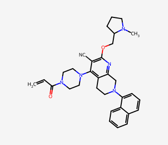 C=CC(=O)N1CCN(c2c(C#N)c(OCC3CCCN3C)nc3c2CCN(c2cccc4ccccc24)C3)CC1